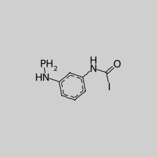 O=C(I)Nc1cccc(NP)c1